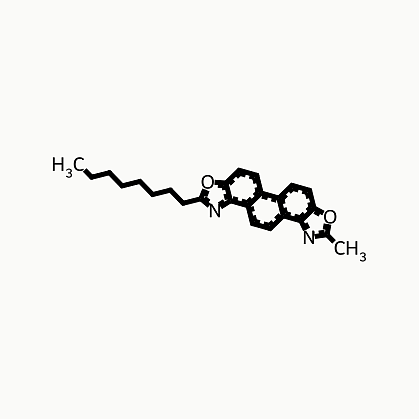 CCCCCCCCc1nc2c(ccc3c4ccc5oc(C)nc5c4ccc32)o1